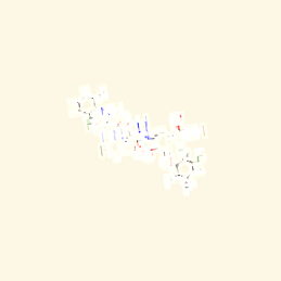 CC(C)(NC(=O)C(=O)Nc1c(F)cccc1F)C(=O)NC(CCC(=O)O)C(=O)COc1c(F)c(F)cc(F)c1F